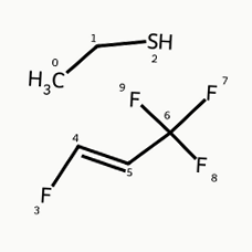 CCS.F/C=C/C(F)(F)F